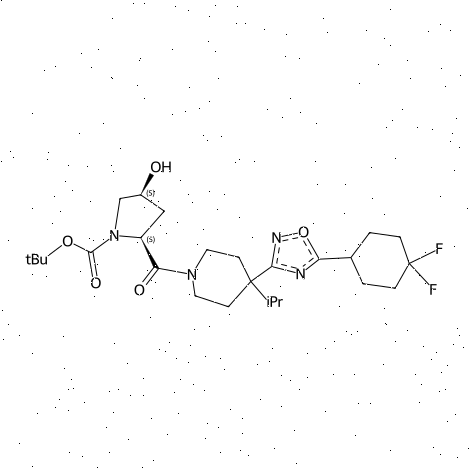 CC(C)C1(c2noc(C3CCC(F)(F)CC3)n2)CCN(C(=O)[C@@H]2C[C@H](O)CN2C(=O)OC(C)(C)C)CC1